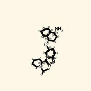 CC(C)N1CCCC[C@H]1c1nnc2ccc(O[C@@H]3CC[C@H](N)c4ccccc43)cn12